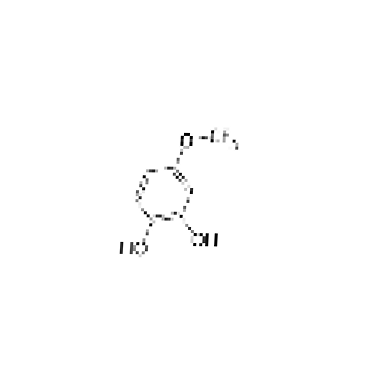 Oc1ccc(OC(F)(F)F)cc1O